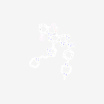 CN1CCN(c2ccc(Nc3ncc4c(=O)n(-c5c(Cl)cccc5Cl)nc(-c5ccn(CCN6CCCCC6)n5)c4n3)cc2)CC1